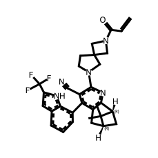 C=CC(=O)N1CC2(CCN(c3nc4c(c(-c5cccc6cc(C(F)(F)F)[nH]c56)c3C#N)C[C@H]3C[C@@H]4C3(C)C)C2)C1